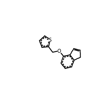 C1=Cc2c(cccc2OCc2cccs2)C1